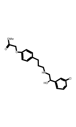 COC(=O)COc1ccc(CCCNC[C@H](O)c2cccc(Cl)c2)cc1